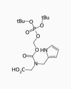 CC(C)(C)OP(=O)(OCOC(=O)N(CC(=O)O)Cc1ccc[nH]1)OC(C)(C)C